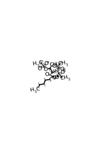 CCCCCS(=O)(=O)N(C(C)OS(C)(=O)=O)N(S(C)(=O)=O)S(C)(=O)=O